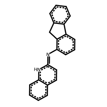 c1ccc2c(c1)Cc1c(N=c3ccc4ccccc4[nH]3)cccc1-2